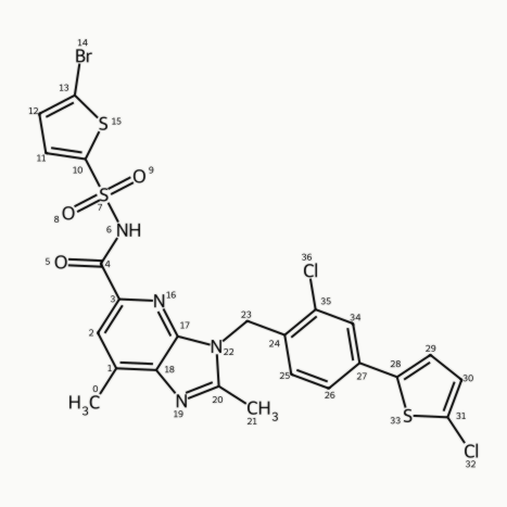 Cc1cc(C(=O)NS(=O)(=O)c2ccc(Br)s2)nc2c1nc(C)n2Cc1ccc(-c2ccc(Cl)s2)cc1Cl